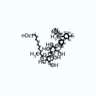 CCCCCCCC/C=C\CCCCCCC(C)C(=O)O[C@H]1[C@H](O)[C@@H](CO)O[C@@]1(CO)O[C@H]1O[C@H](CO)[C@@H](O)[C@H](O)[C@H]1O.C[Si](Cn1cncn1)(c1ccc(F)cc1)c1ccc(F)cc1